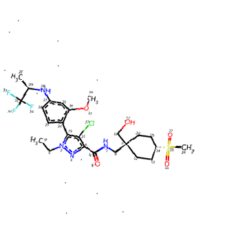 CCn1nc(C(=O)NC[C@]2(CO)CC[C@@H](S(C)(=O)=O)CC2)c(Cl)c1-c1ccc(N[C@H](C)C(F)(F)F)cc1OC